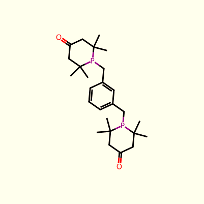 CC1(C)CC(=O)CC(C)(C)P1Cc1cccc(CP2C(C)(C)CC(=O)CC2(C)C)c1